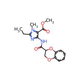 CCc1nc(NC(=O)C2COc3ccccc3O2)c(C(=O)OC)n1C